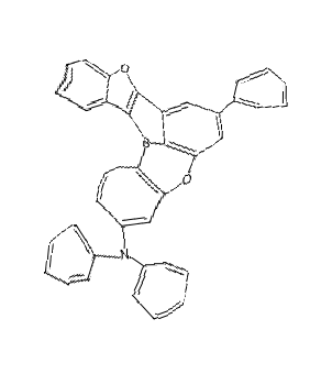 c1ccc(-c2cc3c4c(c2)-c2oc5ccccc5c2B4c2ccc(N(c4ccccc4)c4ccccc4)cc2O3)cc1